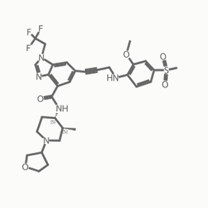 COc1cc(S(C)(=O)=O)ccc1NCC#Cc1cc(C(=O)N[C@H]2CCN(C3CCOC3)C[C@@H]2C)c2ncn(CC(F)(F)F)c2c1